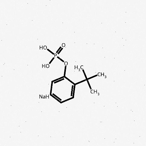 CC(C)(C)c1ccccc1OP(=O)(O)O.[NaH]